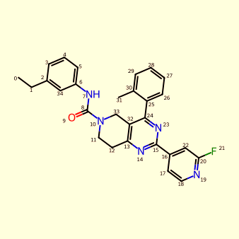 CCc1cccc(NC(=O)N2CCc3nc(-c4ccnc(F)c4)nc(-c4ccccc4C)c3C2)c1